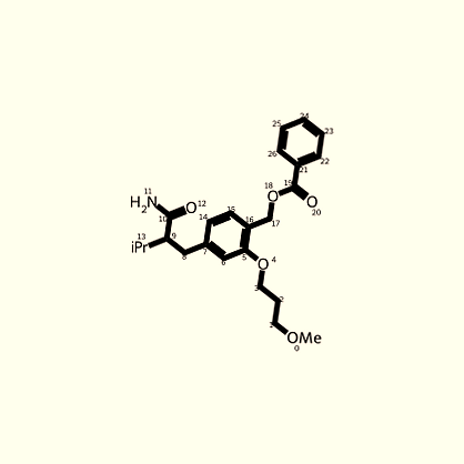 COCCCOc1cc(CC(C(N)=O)C(C)C)ccc1COC(=O)c1ccccc1